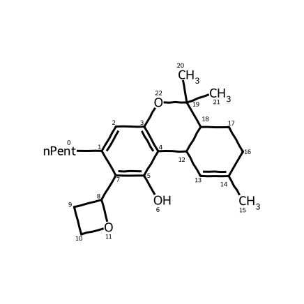 CCCCCc1cc2c(c(O)c1C1CCO1)C1C=C(C)CCC1C(C)(C)O2